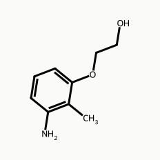 Cc1c(N)cccc1OCCO